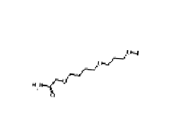 NC(=O)COCCCCOCCCOI